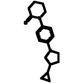 O=C1CCCCN1c1ccc(N2CCC(C3CC3)C2)cc1